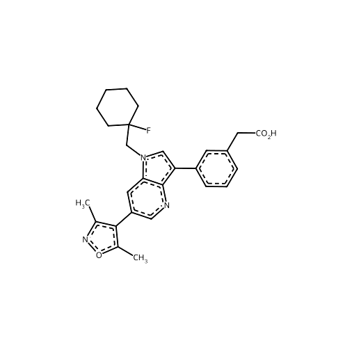 Cc1noc(C)c1-c1cnc2c(-c3cccc(CC(=O)O)c3)cn(CC3(F)CCCCC3)c2c1